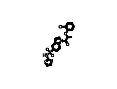 CC(Oc1ccccc1Cl)C(=O)n1ccc2cc(S(=O)(=O)Nc3nccs3)ccc21